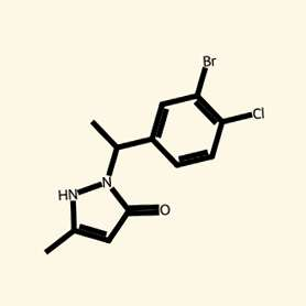 Cc1cc(=O)n(C(C)c2ccc(Cl)c(Br)c2)[nH]1